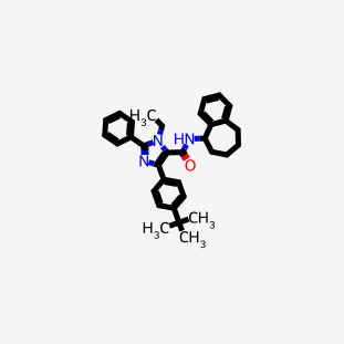 CCn1c(-c2ccccc2)nc(-c2ccc(C(C)(C)C)cc2)c1C(=O)NC1CCCCc2ccccc21